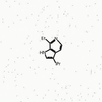 CCc1nccc2c(C(C)C)c[nH]c12